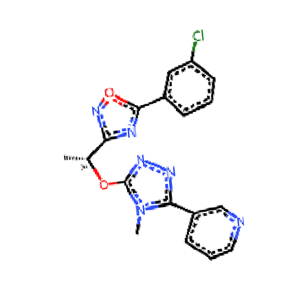 C[C@@H](Oc1nnc(-c2cccnc2)n1C)c1noc(-c2cccc(Cl)c2)n1